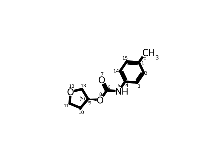 Cc1ccc(NC(=O)O[C@H]2CCOC2)cc1